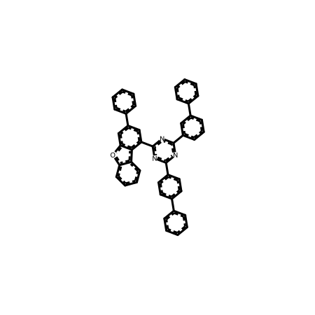 c1ccc(-c2ccc(-c3nc(-c4cccc(-c5ccccc5)c4)nc(-c4cc(-c5ccccc5)cc5oc6ccccc6c45)n3)cc2)cc1